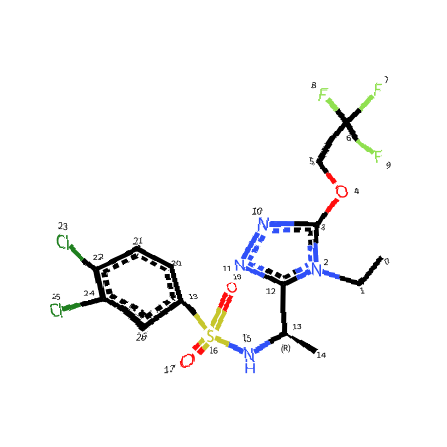 CCn1c(OCC(F)(F)F)nnc1[C@@H](C)NS(=O)(=O)c1ccc(Cl)c(Cl)c1